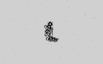 COC(=O)C(CCN1C(=O)CCC(N2C(=O)c3ccccc3C2=O)C1=O)NC(=O)CN(C)C